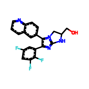 OCC1Cn2c(nc(-c3cc(F)cc(F)c3F)c2-c2ccc3ncccc3c2)N1